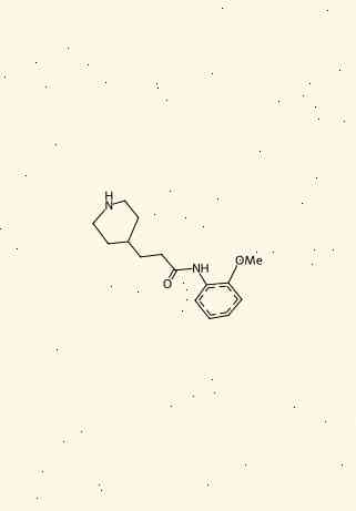 COc1ccccc1NC(=O)CCC1CCNCC1